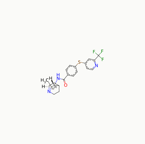 C[C@H]1[C@H](NC(=O)c2ccc(Sc3ccnc(C(F)(F)F)c3)cc2)C2CCN1CC2